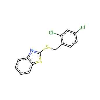 Clc1ccc(CSc2nc3ccccc3s2)c(Cl)c1